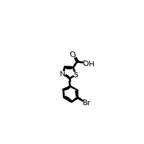 O=C(O)c1cnc(-c2cccc(Br)c2)s1